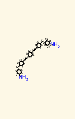 Nc1ccc(Cc2ccc(C#Cc3ccc(C#Cc4ccc(Cc5ccc(N)cc5)cc4)cc3)cc2)cc1